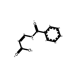 O=C(Cl)/C=C\SC(=O)c1ccccc1